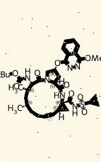 COc1nnc(O[C@@H]2C[C@H]3C(=O)N[C@]4(C(=O)NS(=O)(=O)C5CC5)C[C@H]4/C=C\CC[C@H](C)C[C@@H](C)[C@H](NC(=O)OC(C)(C)C)C(=O)N3C2)c2ccccc12